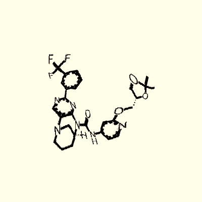 CC1(C)OC[C@@H](COc2cc(NC(=O)N3c4nc(-c5cccc(C(F)(F)F)c5)ncc4N4CCC[C@H]3C4)ccn2)O1